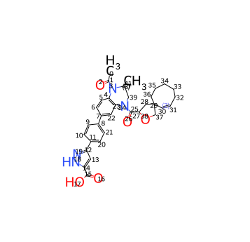 CC(=O)N1c2ccc(-c3ccc(-c4cc(C(=O)O)[nH]n4)cc3)cc2N(C(=O)C2CC3(/C=C\CCCCC3)CO2)C[C@@H]1C